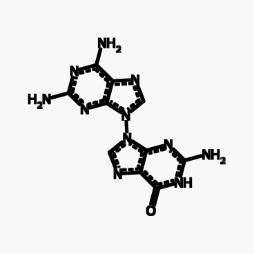 Nc1nc(N)c2ncn(-n3cnc4c(=O)[nH]c(N)nc43)c2n1